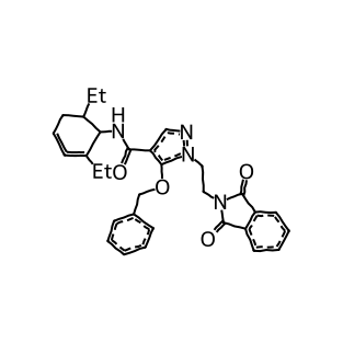 CCC1=C=CCC(CC)C1NC(=O)c1cnn(CCN2C(=O)c3ccccc3C2=O)c1OCc1ccccc1